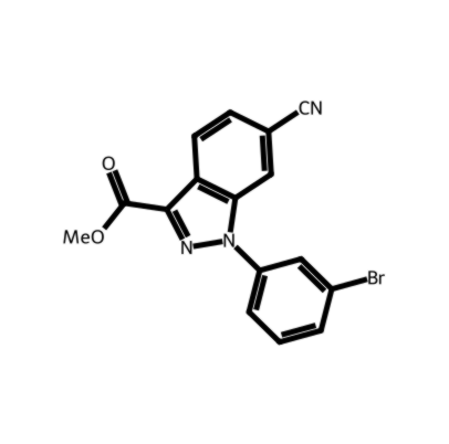 COC(=O)c1nn(-c2cccc(Br)c2)c2cc(C#N)ccc12